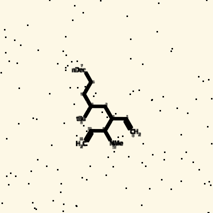 C=CC(CC(CCCCCCCCCCCC)C(C)(C)C)C(C=C)NC